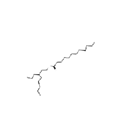 CCCCCCCCCCCC(=O)OCCC(CCC)CCCCC